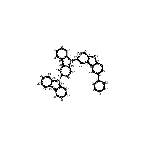 c1ccc(-c2ccc3sc4cnc(-n5c6ccccc6c6cc(-n7c8ccccc8c8ccccc87)ccc65)cc4c3c2)cc1